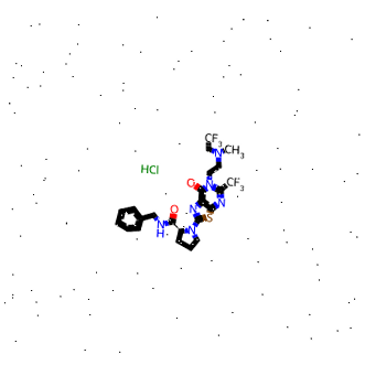 CN(CCn1c(C(F)(F)F)nc2sc(N3CCC[C@@H]3C(=O)NCc3ccccc3)nc2c1=O)CC(F)(F)F.Cl